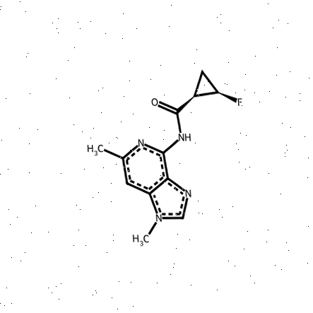 Cc1cc2c(ncn2C)c(NC(=O)[C@H]2C[C@H]2F)n1